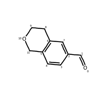 O=[C]c1ccc2c(c1)CCOC2